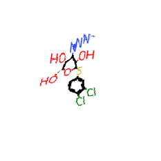 [N-]=[N+]=NC1[C@@H](O)[C@@H](Sc2ccc(Cl)c(Cl)c2)O[C@H](CO)[C@@H]1O